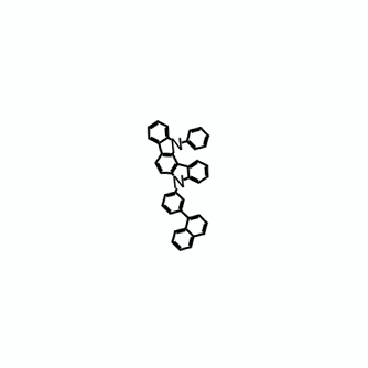 c1ccc(-n2c3ccccc3c3ccc4c(c5ccccc5n4-c4cccc(-c5cccc6ccccc56)c4)c32)cc1